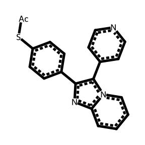 CC(=O)Sc1ccc(-c2nc3ccccn3c2-c2ccncc2)cc1